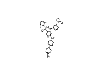 Cc1cccc(C)c1NC(=O)c1cnc(Nc2ccc(N3CCN(C(C)C)CC3)cc2)nc1Oc1cccc(N2CCCC2=O)c1